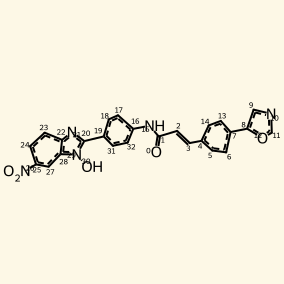 O=C(/C=C/c1ccc(-c2cnco2)cc1)Nc1ccc(-c2nc3ccc([N+](=O)[O-])cc3n2O)cc1